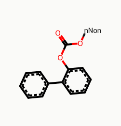 CCCCCCCCCOC(=O)Oc1ccccc1-c1ccccc1